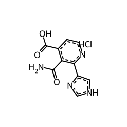 Cl.NC(=O)c1c(C(=O)O)ccnc1-c1c[nH]cn1